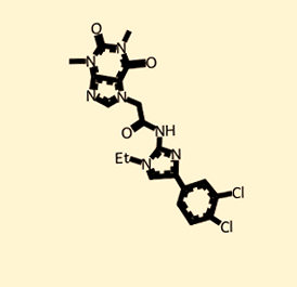 CCn1cc(-c2ccc(Cl)c(Cl)c2)nc1NC(=O)Cn1cnc2c1c(=O)n(C)c(=O)n2C